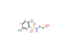 O=S(=O)(NCCO)c1cc(Cl)ccc1Cl